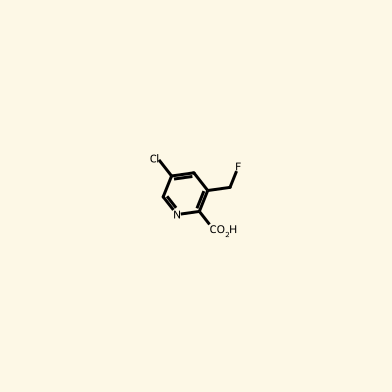 O=C(O)c1ncc(Cl)cc1CF